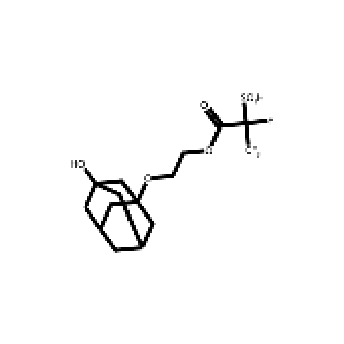 O=C(OCCOC12CC3CC(CC(O)(C3)C1)C2)C(F)(C(F)(F)F)S(=O)(=O)O